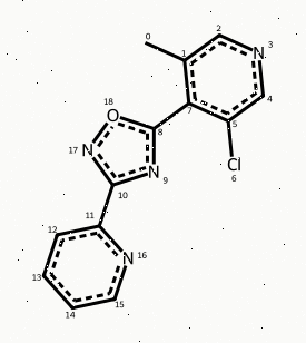 Cc1cncc(Cl)c1-c1nc(-c2ccccn2)no1